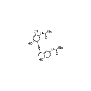 CC(C)(C)C(=O)Oc1ccc(O)c(C(=O)C#Cc2cc(OC(=O)C(C)(C)C)c(C#N)cc2O)c1